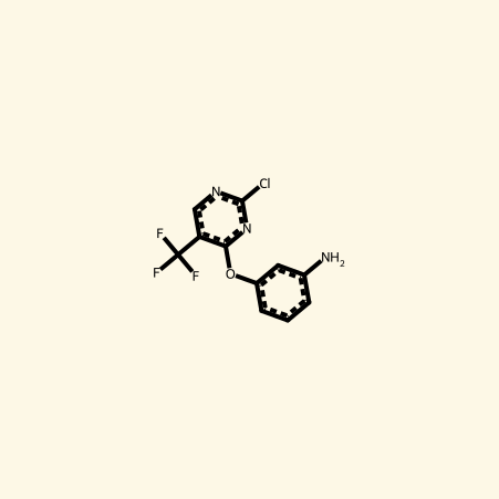 Nc1cccc(Oc2nc(Cl)ncc2C(F)(F)F)c1